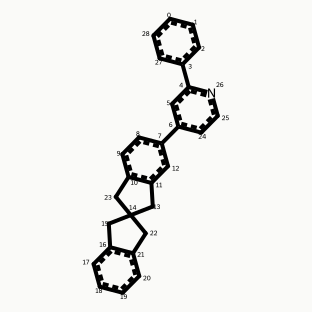 c1ccc(-c2cc(-c3ccc4c(c3)CC3(Cc5ccccc5C3)C4)ccn2)cc1